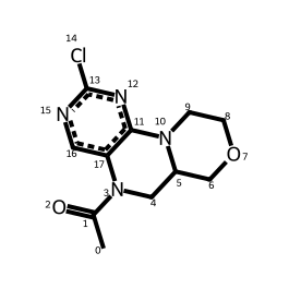 CC(=O)N1CC2COCCN2c2nc(Cl)ncc21